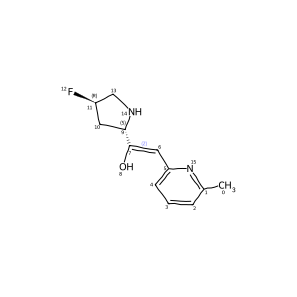 Cc1cccc(/C=C(\O)[C@@H]2C[C@@H](F)CN2)n1